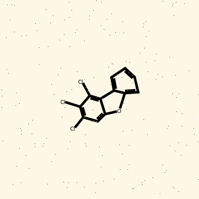 Clc1cc2oc3ccccc3c2c(Cl)c1Cl